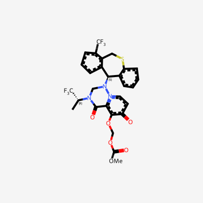 COC(=O)OCOc1c2n(ccc1=O)N([C@@H]1c3ccccc3SCc3c1cccc3C(F)(F)F)CN([C@H](C)C(F)(F)F)C2=O